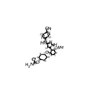 COc1cccc(O[C@H]2CC[C@H](OC(N)=O)CC2)c1-c1cc(Nc2cnc(C#N)cn2)n[nH]1